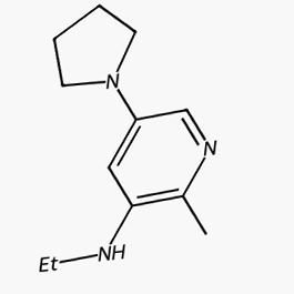 CCNc1cc(N2CCCC2)cnc1C